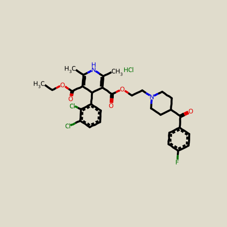 CCOC(=O)C1=C(C)NC(C)=C(C(=O)OCCN2CCC(C(=O)c3ccc(F)cc3)CC2)C1c1cccc(Cl)c1Cl.Cl